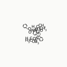 CC(C)(C)OC(=O)[C@H](Cc1cn(C(=O)OC(C)(C)C)c2ccccc12)n1cccc(NC(=O)OCc2ccccc2)c1=O